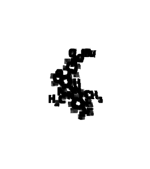 Cc1nc(N[C@H](C)c2cccc(C(F)F)c2F)c2cc(C3=CCN(C(=O)OC(C)(C)C)CC3)c3c(c2n1)CCO3